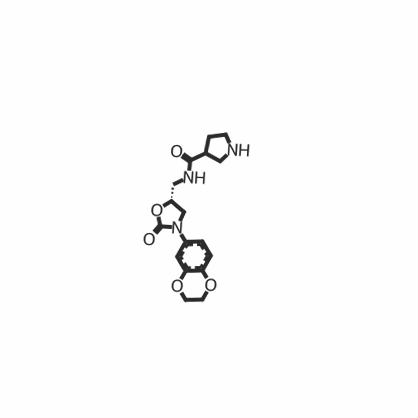 O=C(NC[C@@H]1CN(c2ccc3c(c2)OCCO3)C(=O)O1)C1CCNC1